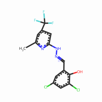 Cc1cc(C(F)(F)F)cc(N/N=C/c2cc(Cl)cc(Cl)c2O)n1